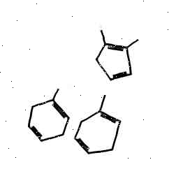 CC1=CCC=CC1.CC1=CCC=CC1.CCC1=[C]([Ir])CC=C1